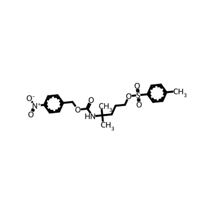 Cc1ccc(S(=O)(=O)OCCCC(C)(C)NC(=O)OCc2ccc([N+](=O)[O-])cc2)cc1